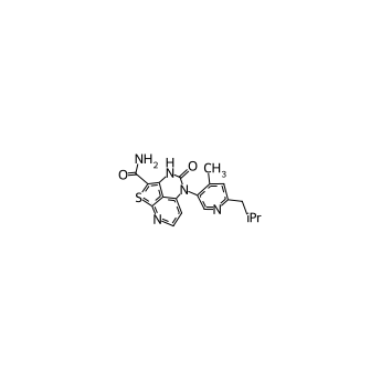 Cc1cc(CC(C)C)ncc1N1C(=O)Nc2c(C(N)=O)sc3nccc1c23